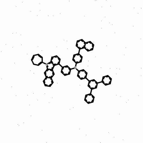 C1=CCC=C(n2c3cc4ccccc4cc3c3c(-c4cccc(N(c5ccc(-c6cc(-c7ccccc7)cc(-c7ccccc7)c6)cc5)c5ccc(-c6cccc7ccccc67)cc5)c4)cccc32)C=C1